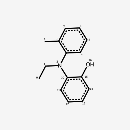 CCN(c1ccccc1C)c1ccccc1O